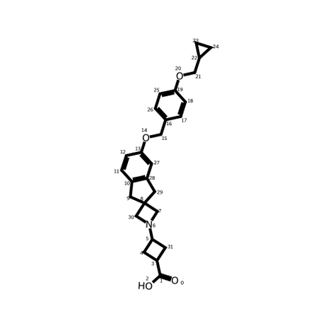 O=C(O)C1CC(N2CC3(Cc4ccc(OCc5ccc(OCC6CC6)cc5)cc4C3)C2)C1